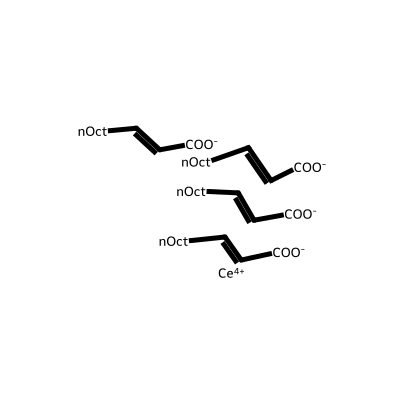 CCCCCCCCC=CC(=O)[O-].CCCCCCCCC=CC(=O)[O-].CCCCCCCCC=CC(=O)[O-].CCCCCCCCC=CC(=O)[O-].[Ce+4]